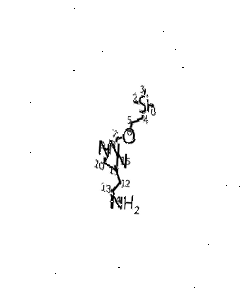 C[Si](C)(C)CCOCn1ncc(CCN)n1